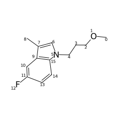 COCCCn1cc(C)c2cc(F)ccc21